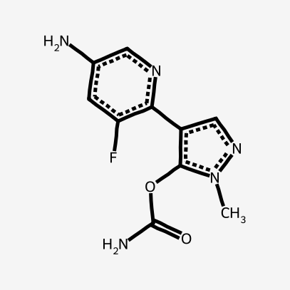 Cn1ncc(-c2ncc(N)cc2F)c1OC(N)=O